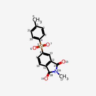 Cc1ccc(S(=O)(=O)c2ccc3c(c2)C(=O)N(C)C3=O)cc1